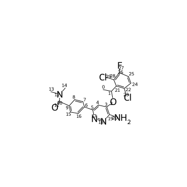 CC(Oc1cc(-c2ccc(C(=O)N(C)C)cc2)nnc1N)c1c(Cl)ccc(F)c1Cl